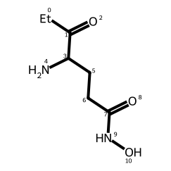 CCC(=O)C(N)CCC(=O)NO